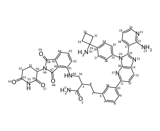 NC(=O)C(CCc1cccc(-c2ccc3nc(-c4cccnc4N)n(-c4ccc(C5(N)CCC5)cc4)c3n2)c1)CNc1cccc2c1C(=O)N(C1CCC(=O)NC1=O)C2=O